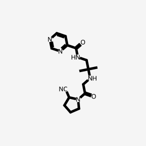 CC(C)(CNC(=O)c1ccncn1)NCC(=O)N1CCCC1C#N